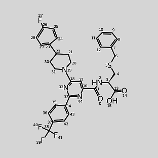 O=C(N[C@@H](CSCc1ccccc1)C(=O)O)c1cc(N2CCC(c3ccc(F)cc3)CC2)nc(-c2ccc(C(F)(F)F)cc2)n1